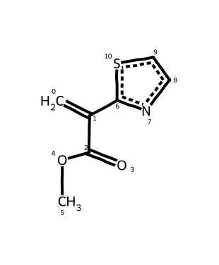 C=C(C(=O)OC)c1nccs1